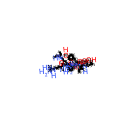 C/C=C(/CC)NCCC[C@H](NC(=O)[C@@H](N)CCCNC(=N)N)C(=O)N1CCC[C@H]1C(=O)N[C@@H](Cc1ccc(O)cc1)C(=O)N[C@H](C(=O)N[C@@H](CC(C)C)C(=O)O)C(C)CC